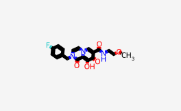 COCCNC(=O)c1cn2ccn(Cc3ccc(F)cc3)c(=O)c2c(O)c1=O